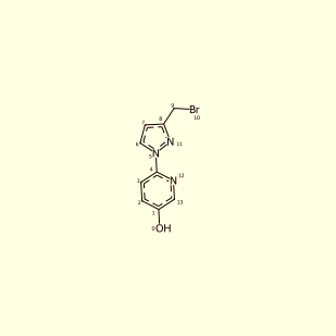 Oc1ccc(-n2ccc(CBr)n2)nc1